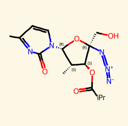 Cc1ccn([C@@H]2O[C@@](CO)(N=[N+]=[N-])[C@@H](OC(=O)C(C)C)[C@@H]2C)c(=O)n1